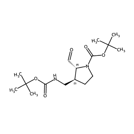 CC(C)(C)OC(=O)NC[C@@H]1CCN(C(=O)OC(C)(C)C)[C@H]1C=O